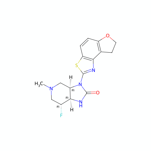 CN1C[C@@H](F)[C@@H]2NC(=O)N(c3nc4c5c(ccc4s3)OCC5)[C@@H]2C1